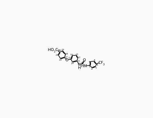 O=C(Nc1ccc(C(F)(F)F)cc1)Nc1cccc(Oc2ccc(C(=O)O)cc2)c1